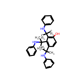 CC(C)(Nc1ccccc1)c1ccc(O)c(C(C)(C)Nc2ccccc2)c1C(C)(C)Nc1ccccc1